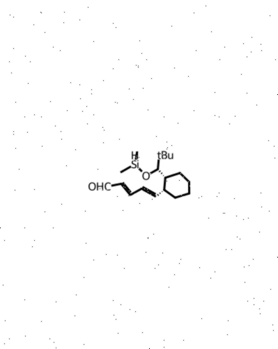 C[SiH](C)OC([C@@H]1CCCC[C@@H]1C=CC=CC=O)C(C)(C)C